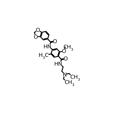 CCN(CC)CCNC(=O)c1cc(C)c(NC(=O)c2ccc3c(c2)OCO3)cc1OC